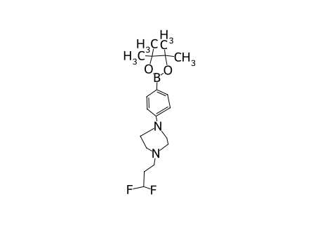 CC1(C)OB(c2ccc(N3CCN(CCC(F)F)CC3)cc2)OC1(C)C